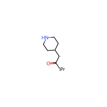 CC(C)C(=O)[CH]C1CCNCC1